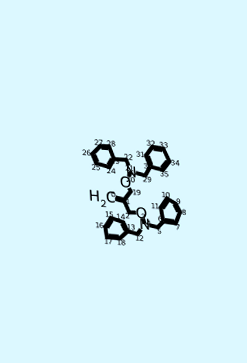 C=C(CON(Cc1ccccc1)Cc1ccccc1)CON(Cc1ccccc1)Cc1ccccc1